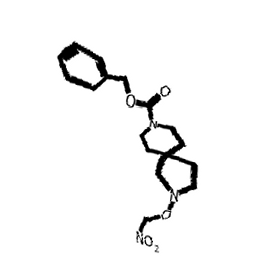 O=C(OCc1ccccc1)N1CCC2(CCN(OC[N+](=O)[O-])C2)CC1